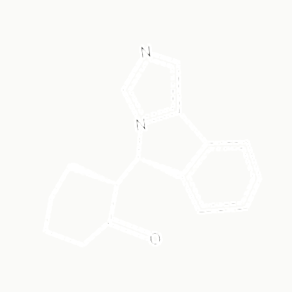 O=C1CCCC[C@@H]1[C@H]1c2ccccc2-c2cncn21